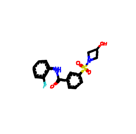 O=C(Nc1ccccc1F)c1cccc(S(=O)(=O)N2CC(O)C2)c1